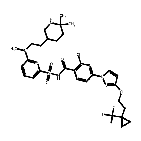 CN(CCC1CCC(C)(C)NC1)c1cccc(S(=O)(=O)NC(=O)c2ccc(-n3ccc(OCCC4(C(F)(F)F)CC4)n3)nc2Cl)n1